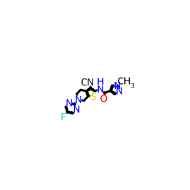 Cn1cc(C(=O)Nc2sc3c(c2C#N)CCN(c2ncc(F)cn2)C3)cn1